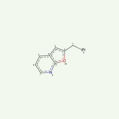 CC(C)Cc1cc2cccnc2o1